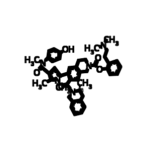 Cc1c(C(=O)N(C)c2ccc(O)cc2)cc(-c2cc3c(cc2C(=O)N2Cc4ccccc4C[C@H]2C)CN(C(=O)Oc2ccccc2CCN(C)C)CC3)n1C